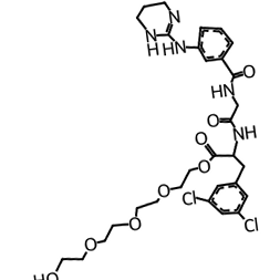 O=C(CNC(=O)c1cccc(NC2=NCCCN2)c1)NC(Cc1cc(Cl)cc(Cl)c1)C(=O)OCCOCCOCCOCCO